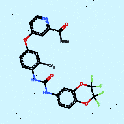 CNC(=O)c1cc(Oc2ccc(NC(=O)Nc3ccc4c(c3)OC(F)(F)C(F)(F)O4)c(C(F)(F)F)c2)ccn1